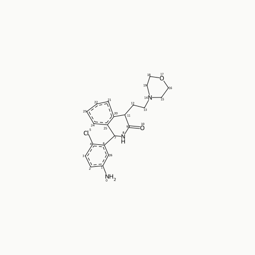 Nc1ccc(Cl)c(C2NC(=O)C(CCN3CCOCC3)c3ccccc32)c1